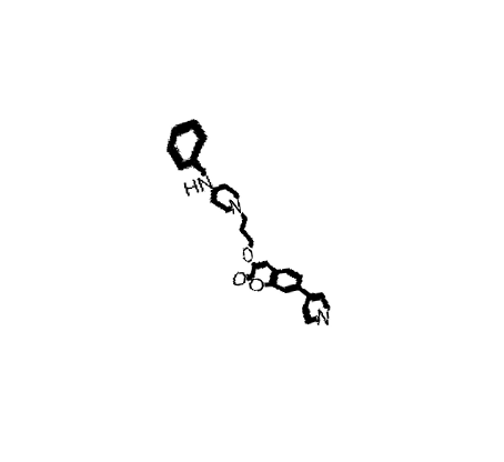 O=c1oc2cc(-c3ccncc3)ccc2cc1OCCCN1CCC(NCc2ccccc2)CC1